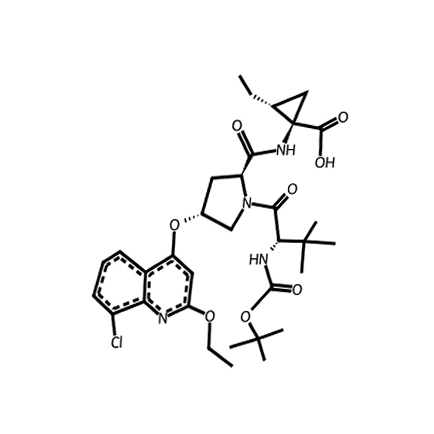 CCOc1cc(O[C@@H]2C[C@@H](C(=O)N[C@]3(C(=O)O)C[C@H]3CC)N(C(=O)[C@@H](NC(=O)OC(C)(C)C)C(C)(C)C)C2)c2cccc(Cl)c2n1